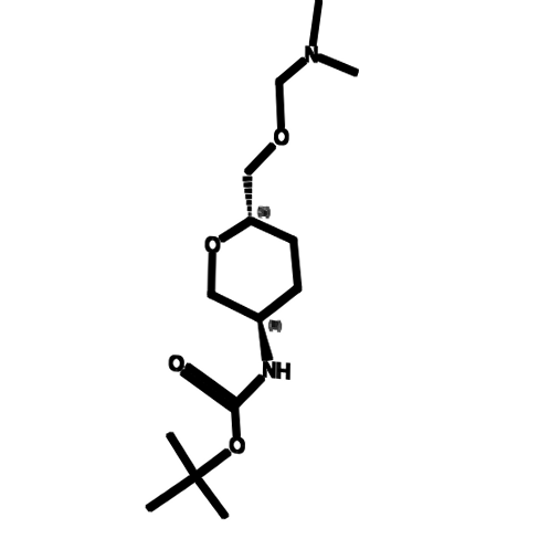 CN(C)COC[C@@H]1CC[C@@H](NC(=O)OC(C)(C)C)CO1